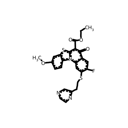 CCOC(=O)c1c(=O)c2cc(F)c(SCCc3cnccn3)cc2n2c1sc1cc(OC)ccc12